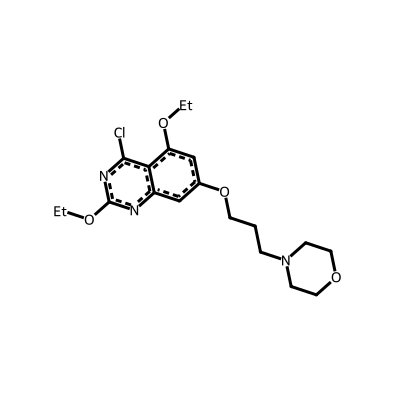 CCOc1nc(Cl)c2c(OCC)cc(OCCCN3CCOCC3)cc2n1